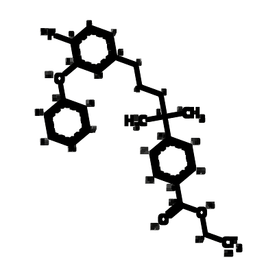 CC(C)(CCCc1ccc(F)c(Oc2ccccc2)c1)c1ccc(C(=O)OCC(F)(F)F)cc1